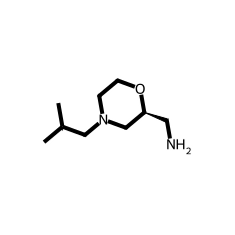 C[C](C)CN1CCO[C@@H](CN)C1